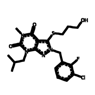 CC(C)Cn1c(=O)n(C)c(=O)c2c(SCCCO)n(Cc3cccc(Cl)c3F)nc21